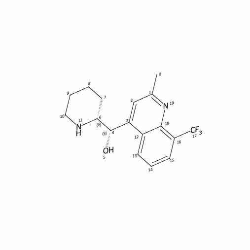 Cc1cc([C@H](O)[C@H]2CCCCN2)c2cccc(C(F)(F)F)c2n1